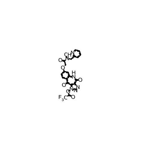 CN(Cc1ccccn1)C(=O)COc1ccc2c(=O)c3c(nnn3OC(=O)C(F)(F)F)c(=O)[nH]c2c1